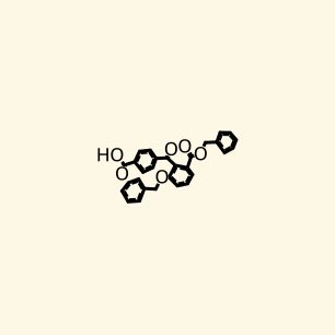 O=C(O)c1ccc(C(=O)c2c(OCc3ccccc3)cccc2C(=O)OCc2ccccc2)cc1